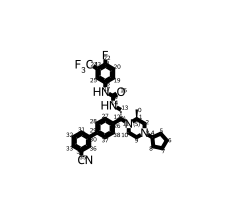 C[C@H]1CN(C2CCCC2)CCN1[C@@H](CNC(=O)Nc1ccc(F)c(C(F)(F)F)c1)c1ccc(-c2cccc(C#N)c2)cc1